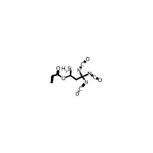 C=CC(=O)OC([SiH3])CC(N=C=O)(N=C=O)N=C=O